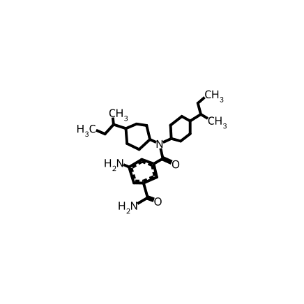 CCC(C)C1CCC(N(C(=O)c2cc(N)cc(C(N)=O)c2)C2CCC(C(C)CC)CC2)CC1